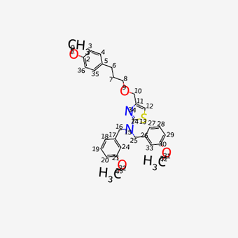 COc1ccc(CCCOCc2csc(N(Cc3cccc(OC)c3)Cc3cccc(OC)c3)n2)cc1